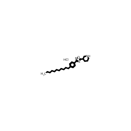 CCCCCCCCCCCc1ccc(-c2noc(C3CCCNC3)n2)cc1.Cl